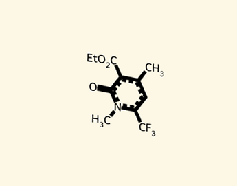 CCOC(=O)c1c(C)cc(C(F)(F)F)n(C)c1=O